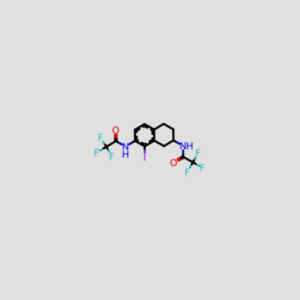 O=C(Nc1ccc2c(c1I)CC(NC(=O)C(F)(F)F)CC2)C(F)(F)F